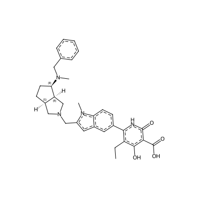 CCc1c(-c2ccc3c(c2)cc(CN2C[C@H]4CC[C@@H](N(C)Cc5ccccc5)[C@H]4C2)n3C)[nH]c(=O)c(C(=O)O)c1O